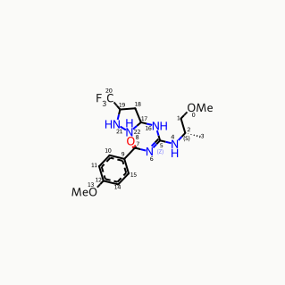 COC[C@H](C)N/C(=N/C(=O)c1ccc(OC)cc1)NC1CC(C(F)(F)F)NN1